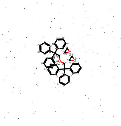 c1ccc(C(c2ccccc2)(c2ccccc2)C(OC([C@@H]2CO2)C(c2ccccc2)(c2ccccc2)c2ccccc2)[C@@H]2CO2)cc1